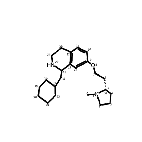 CN1CCC[C@H]1CCOc1ccc2c(c1)C(CC1CCCCC1)NCC2